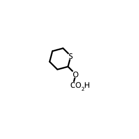 O=C(O)OC1CCCCS1